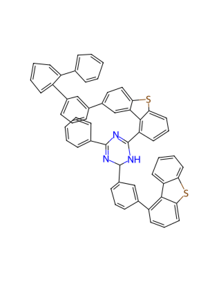 c1ccc(C2=NC(c3cccc(-c4cccc5sc6ccccc6c45)c3)NC(c3cccc4sc5ccc(-c6cccc(-c7ccccc7-c7ccccc7)c6)cc5c34)=N2)cc1